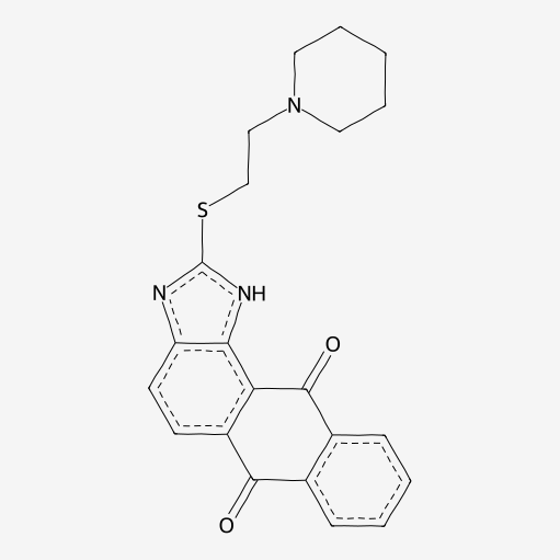 O=C1c2ccccc2C(=O)c2c1ccc1nc(SCCN3CCCCC3)[nH]c21